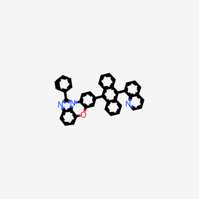 c1cccc(-c2nc3cccc4c3n2-c2ccc(-c3c5ccccc5c(-c5cccc6cccnc56)c5ccccc35)cc2O4)c#1